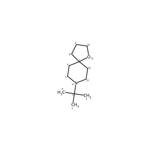 CC(C)(C)N1CCC2(CCCO2)CC1